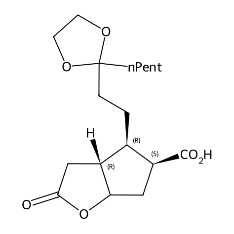 CCCCCC1(CC[C@H]2[C@@H](C(=O)O)CC3OC(=O)C[C@@H]32)OCCO1